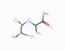 COC(=O)C(C)N[C@@H]([C@@H](C)C(C)C)C(F)(F)F